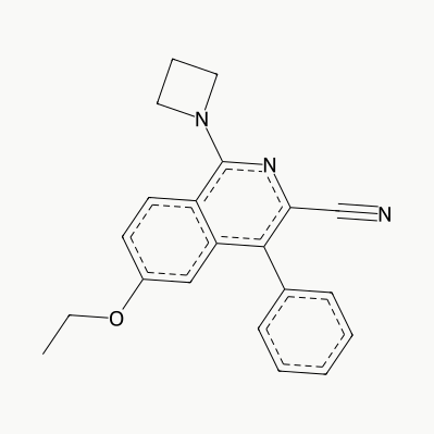 CCOc1ccc2c(N3CCC3)nc(C#N)c(-c3ccccc3)c2c1